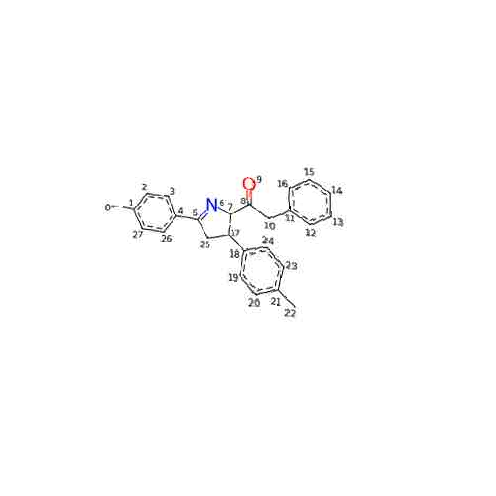 Cc1ccc(C2=NC(C(=O)Cc3ccccc3)C(c3ccc(C)cc3)C2)cc1